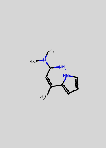 C/C(=C/C(N)N(C)C)c1ccc[nH]1